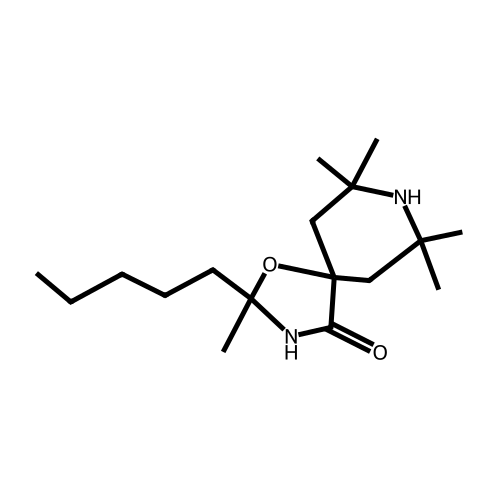 CCCCCC1(C)NC(=O)C2(CC(C)(C)NC(C)(C)C2)O1